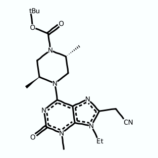 CCn1c(CC#N)nc2c(N3C[C@@H](C)N(C(=O)OC(C)(C)C)C[C@@H]3C)nc(=O)n(C)c21